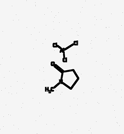 CN1CCCC1=O.[Cl][Al]([Cl])[Cl]